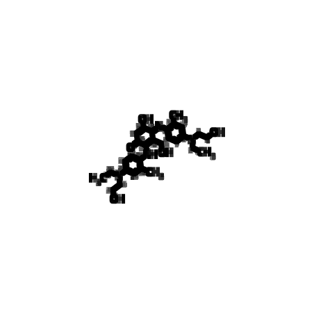 CCN(CCO)c1ccc(N=C2C(O)=CC(=O)C(Nc3ccc(N(CC)CCO)cc3C)=C2CO)c(C)c1